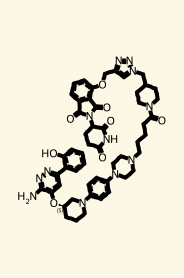 Nc1nnc(-c2ccccc2O)cc1O[C@H]1CCCN(c2ccc(N3CCN(CCCCC(=O)N4CCC(Cn5cc(COc6cccc7c6C(=O)N(C6CCC(=O)NC6=O)C7=O)nn5)CC4)CC3)cc2)C1